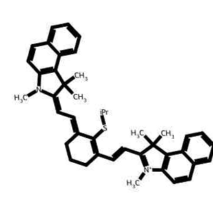 CC(C)SC1=C(/C=C/C2=[N+](C)c3ccc4ccccc4c3C2(C)C)CCC/C1=C\C=C1\N(C)c2ccc3ccccc3c2C1(C)C